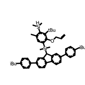 C=CCOc1c([Si](C)(C)C2c3cc(-c4ccc(C(C)CC)cc4)ccc3-c3ccc(-c4ccc(C(C)CC)cc4)cc32)cc(C)c([SiH](C)C)c1C(C)(C)C